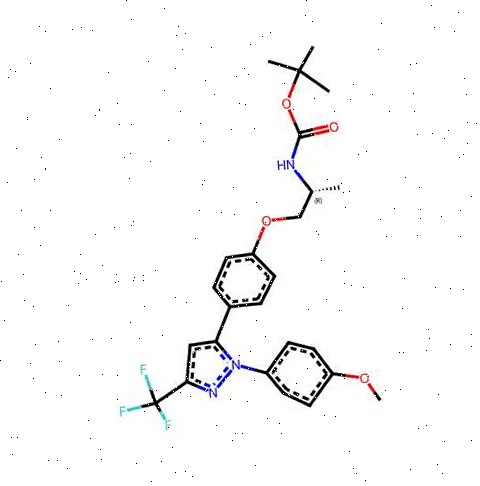 COc1ccc(-n2nc(C(F)(F)F)cc2-c2ccc(OC[C@@H](C)NC(=O)OC(C)(C)C)cc2)cc1